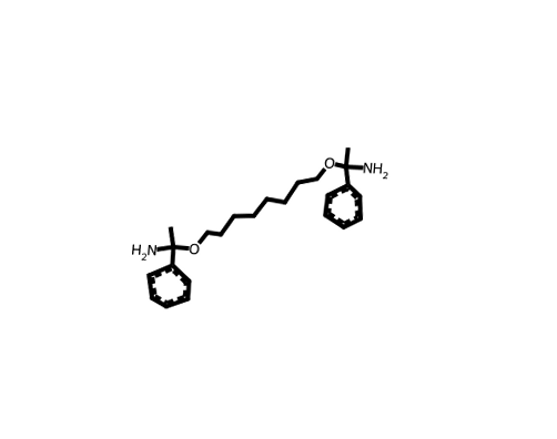 CC(N)(OCCCCCCCCOC(C)(N)c1ccccc1)c1ccccc1